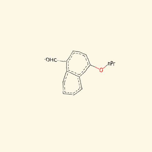 CCCOc1ccc([C]=O)c2ccccc12